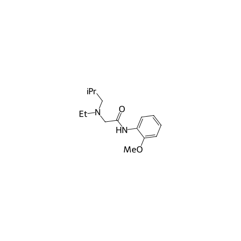 CCN(CC(=O)Nc1ccccc1OC)CC(C)C